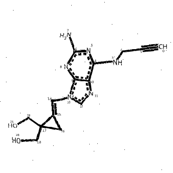 C#CCNc1nc(N)nc2c1ncn2/C=C1\CC1(CO)CO